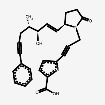 C[C@@H](CC#Cc1ccccc1)[C@H](O)/C=C/[C@H]1CCC(=O)N1CC#Cc1ccc(C(=O)O)s1